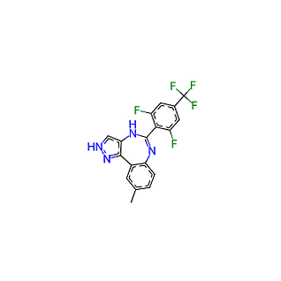 Cc1ccc2c(c1)-c1n[nH]cc1NC(c1c(F)cc(C(F)(F)F)cc1F)=N2